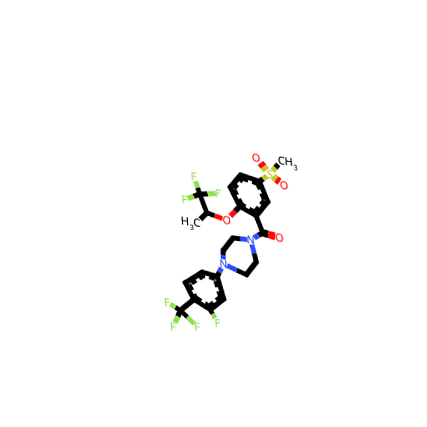 CC(Oc1ccc(S(C)(=O)=O)cc1C(=O)N1CCN(c2ccc(C(F)(F)F)c(F)c2)CC1)C(F)(F)F